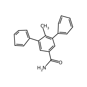 Cc1c(-c2ccccc2)cc(C(N)=O)cc1-c1ccccc1